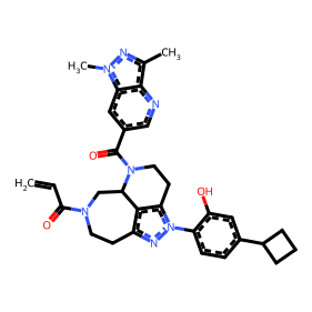 C=CC(=O)N1CCc2nn(-c3ccc(C4CCC4)cc3O)c3c2C(C1)N(C(=O)c1cnc2c(C)nn(C)c2c1)CC3